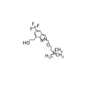 C[Si](C)(C)CCOCn1cc2cc(C(F)(F)F)cc(CCO)c2n1